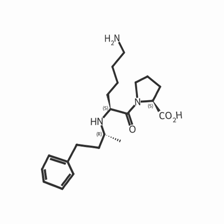 C[C@H](CCc1ccccc1)N[C@@H](CCCCN)C(=O)N1CCC[C@H]1C(=O)O